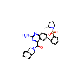 C[C@@H]1CCCN1S(=O)(=O)c1ccccc1-c1ccc2nc(N)nc(C(=O)N3Cc4ccccc4C3)c2c1